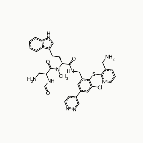 CN(C(=O)[C@H](CN)NC=O)[C@@H](CCc1c[nH]c2ccccc12)C(=O)NCc1cc(-c2ccnnc2)cc(Cl)c1Sc1ncccc1CN